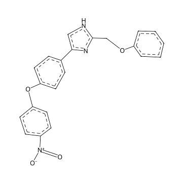 O=[N+]([O-])c1ccc(Oc2ccc(-c3c[nH]c(COc4ccccc4)n3)cc2)cc1